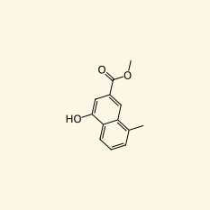 COC(=O)c1cc(O)c2cccc(C)c2c1